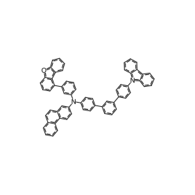 c1cc(-c2ccc(N(c3cccc(-c4cccc5oc6ccccc6c45)c3)c3ccc4c(ccc5ccccc54)c3)cc2)cc(-c2ccc(-n3c4ccccc4c4ccccc43)cc2)c1